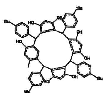 Cc1cc(O)c2cc1C(c1ccc(C(C)(C)C)cc1)c1cc(c(O)cc1O)C(c1ccc(C(C)(C)C)cc1)c1cc(c(O)cc1O)C(c1ccc(C(C)(C)C)cc1)c1cc(c(O)cc1O)C2c1ccc(C(C)(C)C)cc1